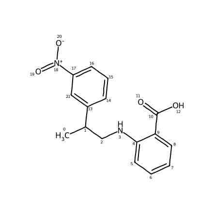 CC(CNc1ccccc1C(=O)O)c1cccc([N+](=O)[O-])c1